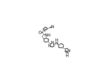 N#Cc1ccn(C(=O)C2Cc3ccc(-c4nccc(Nc5ccc(-c6cn[nH]c6)cc5)n4)cc3N2)c1